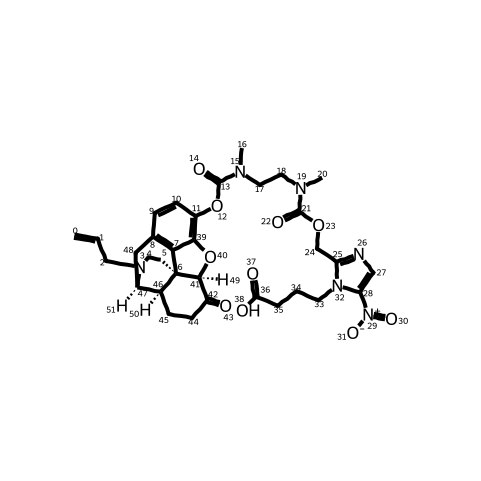 C=CCN1CC[C@]23c4c5ccc(OC(=O)N(C)CCN(C)C(=O)OCc6ncc([N+](=O)[O-])n6CCCC(=O)O)c4O[C@H]2C(=O)CC[C@H]3[C@H]1C5